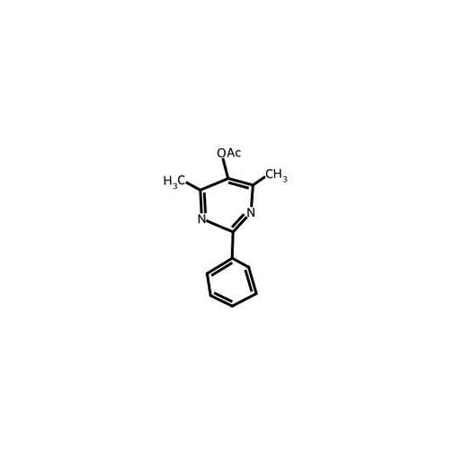 CC(=O)Oc1c(C)nc(-c2ccccc2)nc1C